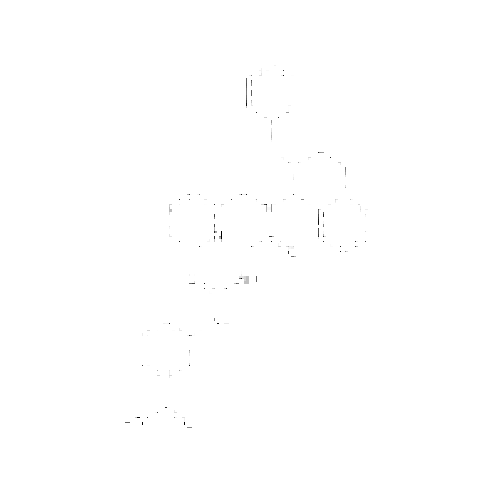 O=C(NCC(=O)N(Cc1ccccn1)C1c2ccccc2CCC1Cc1ccccc1)Nc1cccc(C(=O)O)c1